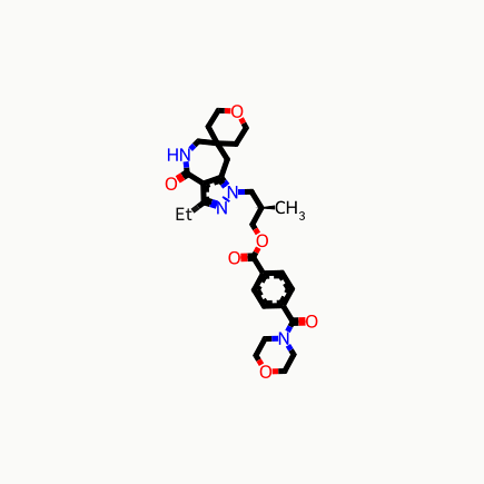 CCc1nn(C[C@@H](C)COC(=O)c2ccc(C(=O)N3CCOCC3)cc2)c2c1C(=O)NCC1(CCOCC1)C2